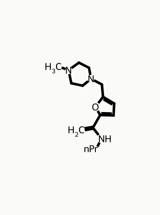 C=C(NCCC)c1ccc(CN2CCN(C)CC2)o1